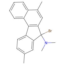 Cc1ccc2c(c1)C(Br)(N(C)C)c1cc(C)c3ccccc3c1-2